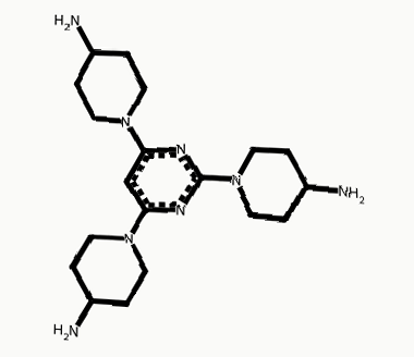 NC1CCN(c2cc(N3CCC(N)CC3)nc(N3CCC(N)CC3)n2)CC1